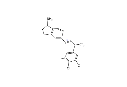 Cc1cc(C(/C=C/c2ccc3c(c2)CCC3N)C(F)(F)F)cc(Cl)c1Cl